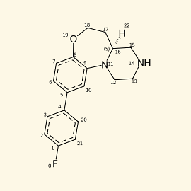 Fc1ccc(-c2ccc3c(c2)N2CCNC[C@@H]2CCO3)cc1